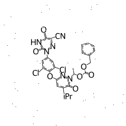 CC(C)c1cc(Oc2c(Cl)cc(-n3nc(C#N)c(=O)[nH]c3=O)cc2Cl)nn(C(C)OC(=O)OCc2ccccc2)c1=O